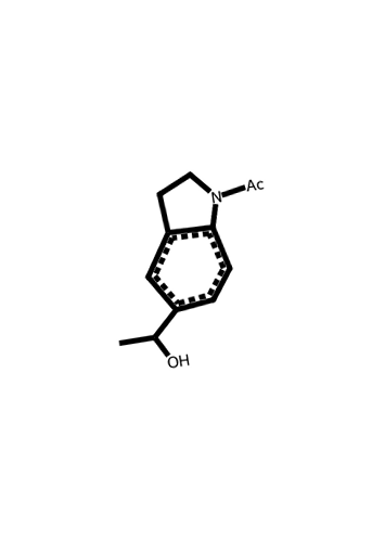 CC(=O)N1CCc2cc(C(C)O)ccc21